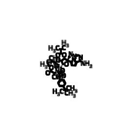 CCOC(=O)[C@H](C)NP(=O)(OC[C@H]1O[C@@](C#N)(c2ccc3c(N)ncnn23)[C@H](OC(=O)C(C)C)[C@@H]1OC(=O)C(C)C)Oc1ccc(C(C)(C)C)cc1